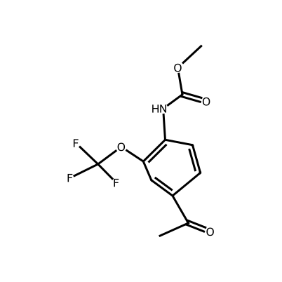 COC(=O)Nc1ccc(C(C)=O)cc1OC(F)(F)F